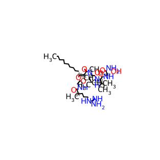 CCCCCCCCCC[C@@H](OC(=O)CNC(=O)[C@@H](C)CCCNC(=N)N)[C@@H](C)C(=O)N(C)[C@@H](CC(C)C)C(=O)N[C@H](C(=O)N[C@@H](CO)C(N)=O)[C@@H](C)CC